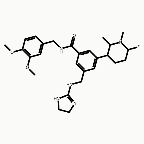 COc1ccc(CNC(=O)c2cc(CNC3=NCCN3)cc(C3CCC(F)N(C)C3C)c2)cc1OC